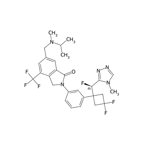 CC(C)N(C)Cc1cc2c(c(C(F)(F)F)c1)CN(c1cccc(C3([C@@H](F)c4nncn4C)CC(F)(F)C3)c1)C2=O